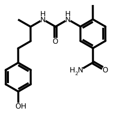 Cc1ccc(C(N)=O)cc1NC(=O)NC(C)CCc1ccc(O)cc1